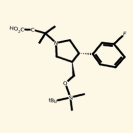 CC(C)(CC(=O)O)N1C[C@H](CO[Si](C)(C)C(C)(C)C)[C@@H](c2cccc(F)c2)C1